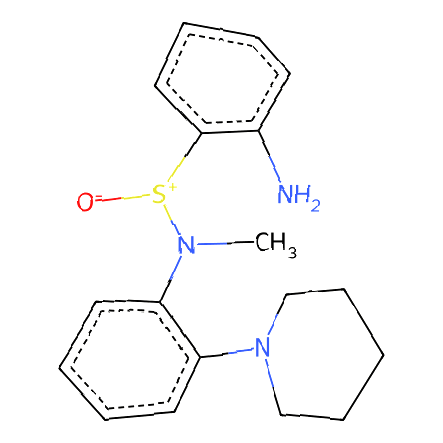 CN(c1ccccc1N1CCCCC1)[S+]([O-])c1ccccc1N